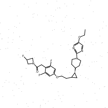 CCOc1cnc(N2CCC([C@H]3CC3CCOc3cc(F)c(CC(=O)N4CC(F)C4)c(F)c3)CC2)nc1